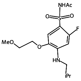 COCCOc1cc(S(=O)(=O)NC(C)=O)c(F)cc1NCC(C)C